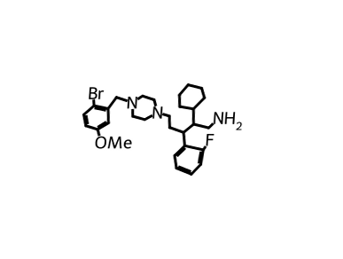 COc1ccc(Br)c(CN2CCN(CCC(c3ccccc3F)C(CN)C3CCCCC3)CC2)c1